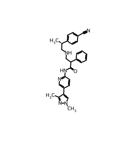 Cc1nn(C)cc1-c1ccc(NC(=O)C(CNC[C@@H](C)c2ccc(C#N)cc2)c2ccccc2)nc1